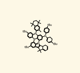 Cc1cc2c(cc1N1c3cc(C(C)(C)C)ccc3B3c4c1cc(N(C1=CC=C(C(C)(C)C)CC1)c1ccc(C(C)(C)C)cc1)cc4-n1c4c(c5cc(C(C)(C)C)cc3c51)C(C)(C)C1=CC=CCC14)C(C)(C)CCC2(C)C